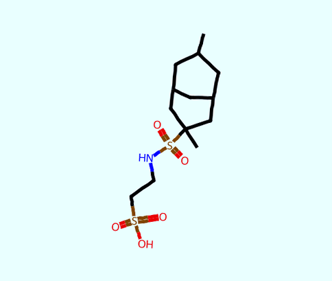 CC1CC2CC(C1)CC(C)(S(=O)(=O)NCCS(=O)(=O)O)C2